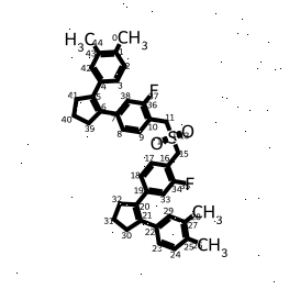 Cc1ccc(C2=C(c3ccc(CS(=O)(=O)Cc4ccc(C5=C(c6ccc(C)c(C)c6)CCC5)cc4F)c(F)c3)CCC2)cc1C